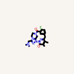 Cc1c(Cc2ccc(F)c(C(=O)N3CCn4c(CN(C)C)nnc4C3)c2)n[nH]c(=O)c1C